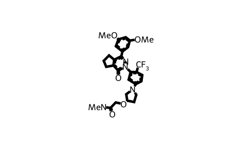 CNC(=O)COC1CCN(c2ccc(C(F)(F)F)c(-n3nc(-c4cc(OC)cc(OC)c4)c4c(c3=O)CCC4)c2)C1